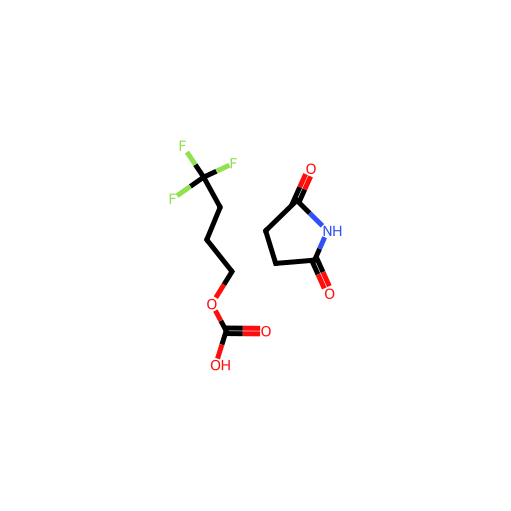 O=C(O)OCCCC(F)(F)F.O=C1CCC(=O)N1